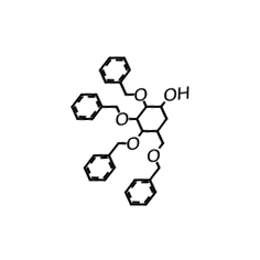 OC1CC(COCc2ccccc2)C(OCc2ccccc2)C(OCc2ccccc2)C1OCc1ccccc1